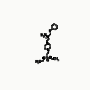 CCOP(=O)(CCN1CCN(CC[C@@H](N)CSc2ccccc2)CC1)OCC